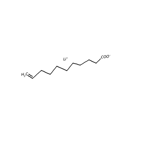 C=CCCCCCCCCC(=O)[O-].[Li+]